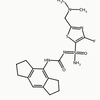 CN(C)Cc1nc(F)c(S(N)(=O)=NC(=O)Nc2c3c(cc4c2CCC4)CCC3)s1